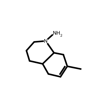 CC1=CCC2CCCN(N)C2C1